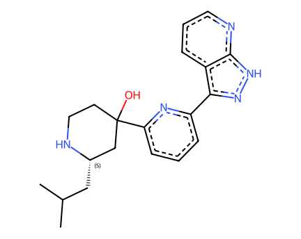 CC(C)C[C@H]1CC(O)(c2cccc(-c3n[nH]c4ncccc34)n2)CCN1